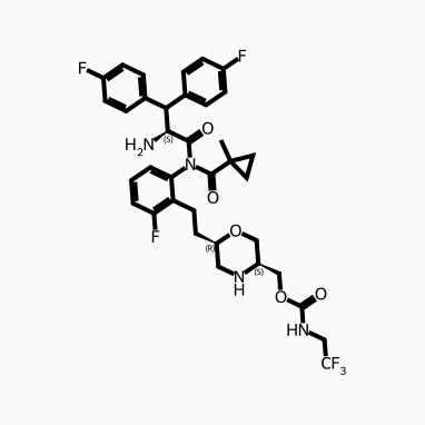 CC1(C(=O)N(C(=O)[C@@H](N)C(c2ccc(F)cc2)c2ccc(F)cc2)c2cccc(F)c2CC[C@@H]2CN[C@H](COC(=O)NCC(F)(F)F)CO2)CC1